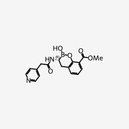 COC(=O)c1cccc2c1OB(O)[C@@H](NC(=O)Cc1ccncc1)C2